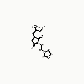 C=C(CF)CC1CC(=O)N(CCN2CCOC2)C1=O